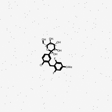 COc1cc(F)c(Cc2cc([C@]3(O)O[C@H](CO)[C@@H](O)[C@H](O)[C@H]3O)ccc2Cl)c(F)c1